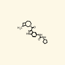 CN1CC2CCCN(C(=O)c3n[nH]c4ccc(NC(=O)NC5CCCC5)cc34)CC21